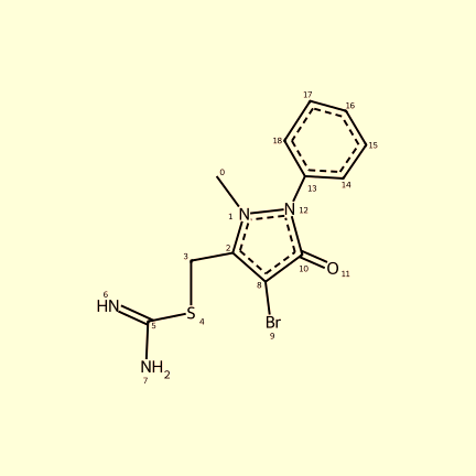 Cn1c(CSC(=N)N)c(Br)c(=O)n1-c1ccccc1